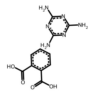 Nc1nc(N)nc(N)n1.O=C(O)c1ccccc1C(=O)O